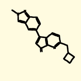 Cn1cc2cc(-c3c[nH]c4nc(CC5CCC5)ccc34)ccc2n1